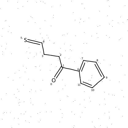 O=C(CC[C]=S)c1ccccc1